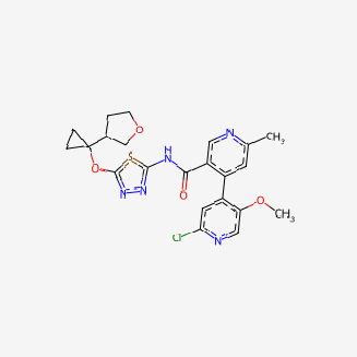 COc1cnc(Cl)cc1-c1cc(C)ncc1C(=O)Nc1nnc(OC2(C3CCOC3)CC2)s1